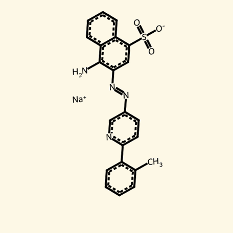 Cc1ccccc1-c1ccc(N=Nc2cc(S(=O)(=O)[O-])c3ccccc3c2N)cn1.[Na+]